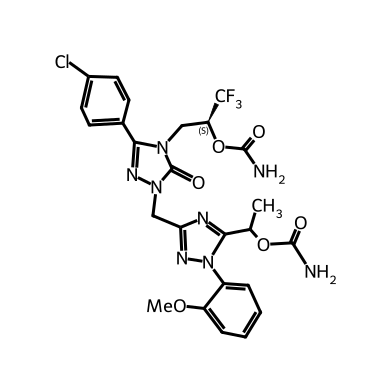 COc1ccccc1-n1nc(Cn2nc(-c3ccc(Cl)cc3)n(C[C@H](OC(N)=O)C(F)(F)F)c2=O)nc1C(C)OC(N)=O